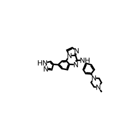 CN1CCN(c2ccc(Nc3nc4ccc(-c5cn[nH]c5)cc4n4ccnc34)cc2)CC1